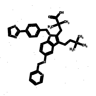 CC(C)(C)CCc1c(CC(C)(C)C(=O)O)n(Cc2ccc(-c3nccs3)cc2)c2ccc(OCc3ccccn3)cc12